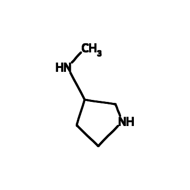 CNC1CCNC1